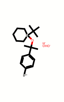 [B+2]c1ccc(C(C)(C)O[Si]2(C(C)(C)C)CCCCC2)cc1.[OH-].[OH-]